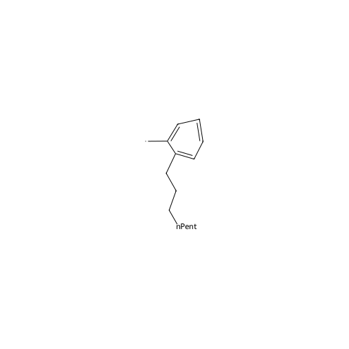 [CH2]c1ccccc1CCCCCCCC